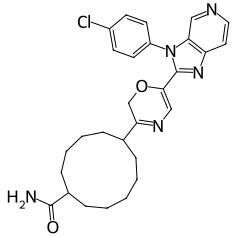 NC(=O)C1CCCCCC(C2=NC=C(c3nc4ccncc4n3-c3ccc(Cl)cc3)OC2)CCCC1